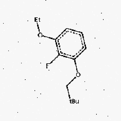 CCOc1cccc(OCC(C)(C)C)c1F